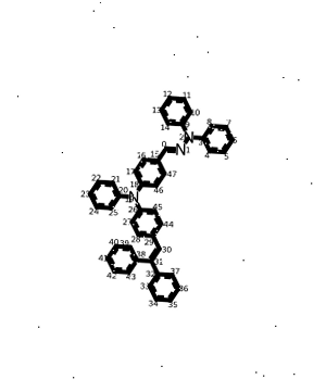 C(=NN(c1ccccc1)c1ccccc1)c1ccc(N(c2ccccc2)c2ccc(C=C(c3ccccc3)c3ccccc3)cc2)cc1